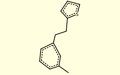 Cc1cccc(CCc2cccs2)c1